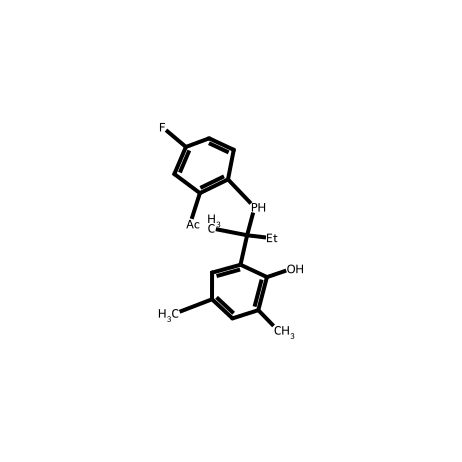 CCC(C)(Pc1ccc(F)cc1C(C)=O)c1cc(C)cc(C)c1O